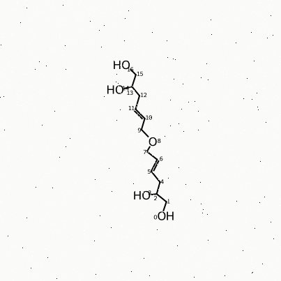 OCC(O)CC=CCOCC=CCC(O)CO